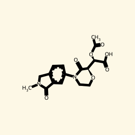 CC(=O)O[C@@H](C(=O)O)[C@H]1OCCN(c2ccc3c(c2)C(=O)N(C)C3)C1=O